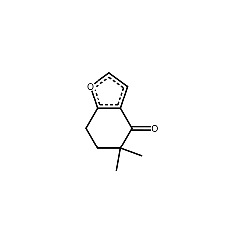 CC1(C)CCc2occc2C1=O